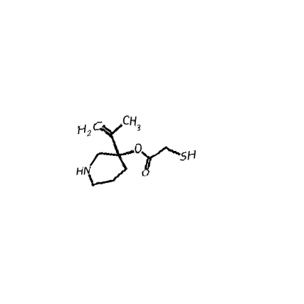 C=C(C)C1(OC(=O)CS)CCCNC1